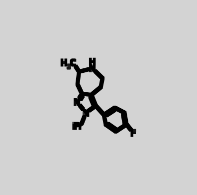 CC1Cc2nn(C(C)C)c(-c3ccc(F)cc3)c2CCN1